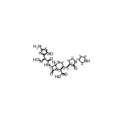 Nc1nc(C(=NO)C(=O)N[C@@H]2C(=O)N3C(C(=O)O)=C(C=C4CCN([C@@H]5CCNC5)C4=O)CS[C@H]23)c(Cl)s1